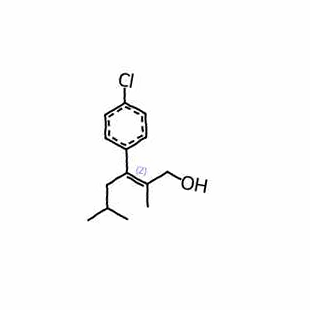 C/C(CO)=C(\CC(C)C)c1ccc(Cl)cc1